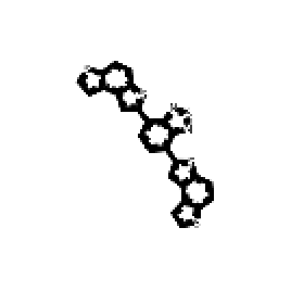 c1cc2c(ccc3sc(-c4ccc(-c5cc6c(ccc7sccc76)s5)c5nsnc45)cc32)s1